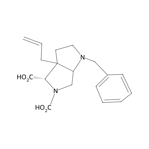 C=CCC12CCN(Cc3ccccc3)C1CN(C(=O)O)[C@@H]2C(=O)O